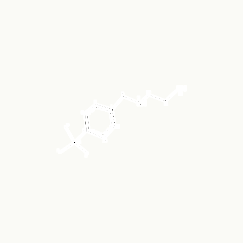 CC(C)(C)c1ccc(CNCCO)cc1